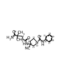 CC(C)(C[CH]C(=O)NC1(C#N)CCN(C(=O)Nc2ccccc2)CC1)C(N)=O